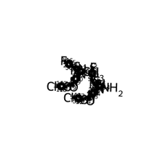 Cc1nc(N2CCN(C(=O)COc3ccc(Cl)cc3)CC2)c2nc(-c3ccc(F)cc3)sc2n1.Nc1nc(N2CCN(C(=O)COc3ccc(Cl)cc3)CC2)c2nc(Cc3ccc(F)cc3)sc2n1